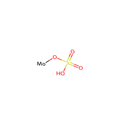 O=S(=O)(O)[O][Mo]